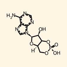 Nc1ncnc2c1ncn2[C@@H]1O[C@@H]2COP(=O)(O)OC2[C@@H]1O